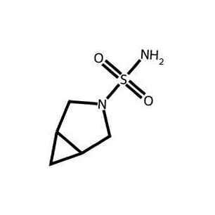 NS(=O)(=O)N1CC2CC2C1